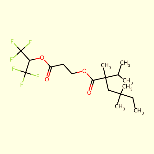 CCC(C)(C)CC(C)(C(=O)OCCC(=O)OC(C(F)(F)F)C(F)(F)F)C(C)C